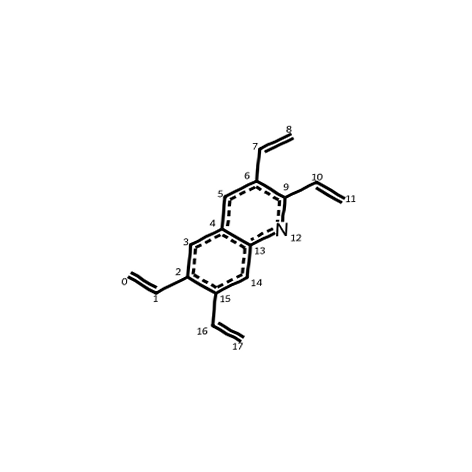 C=Cc1cc2cc(C=C)c(C=C)nc2cc1C=C